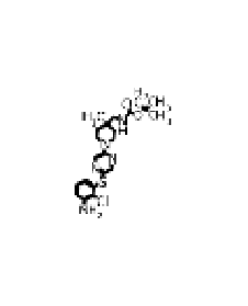 CC1(CNC(=O)OC(C)(C)C)CCN(c2cnc(Sc3cccc(N)c3Cl)cn2)CC1